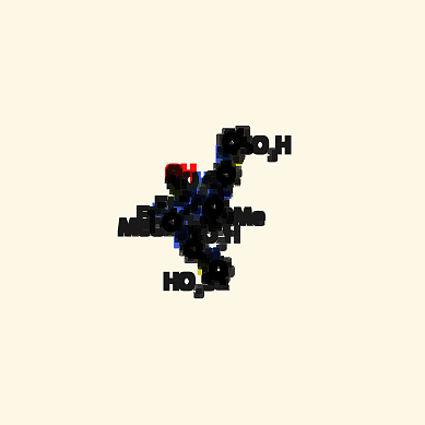 CCN(CC)c1cc(Nc2nc(Nc3cc(N(CC)CC)c(OC)cc3/N=N/c3ccc(-c4nc5ccc(C)c(S(=O)(=O)O)c5s4)cc3S(=O)(=O)O)nc(SCCO)n2)c(/N=N/c2ccc(-c3nc4ccc(C)c(S(=O)(=O)O)c4s3)cc2S(=O)(=O)O)cc1OC